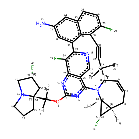 [2H]C([2H])(Oc1nc(N2CC=CC[C@H]3[C@H](F)[C@H]32)c2cnc(-c3cc(N)cc4ccc(F)c(C#C[Si](C(C)C)(C(C)C)C(C)C)c34)c(F)c2n1)[C@@]12CCCN1C[C@H](F)C2